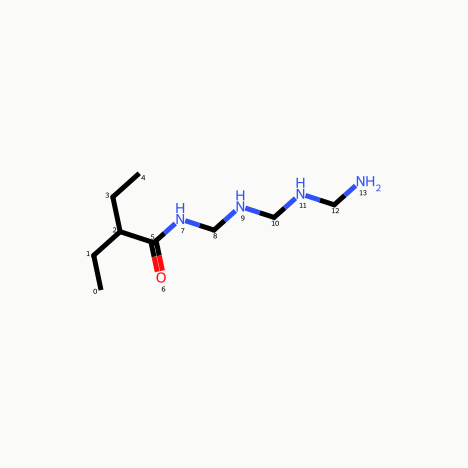 CCC(CC)C(=O)NCNCNCN